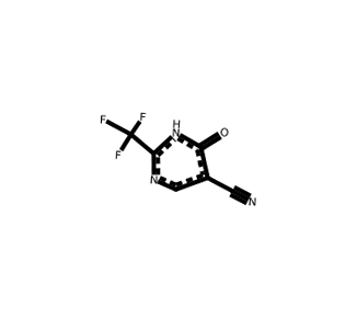 N#Cc1cnc(C(F)(F)F)[nH]c1=O